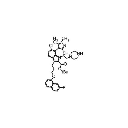 Cc1nn(C)c(C)c1-c1c(Cl)ccc2c(CCCOc3cccc4ccc(F)cc34)c(C(=O)OC(C)(C)C)n(CCN3CCNCC3)c12